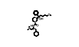 COCCCC[C@@](O)(c1ccccc1)[C@@H]1CCCN(C(=O)N[C@@H](CC2CCCCC2)CN(C)C)C1